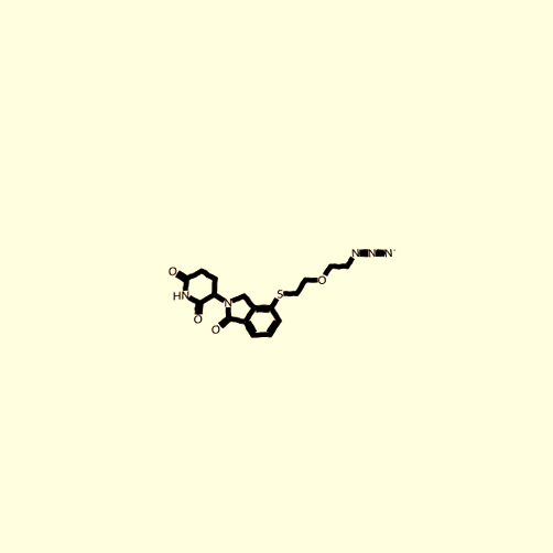 [N-]=[N+]=NCCOCCSc1cccc2c1CN(C1CCC(=O)NC1=O)C2=O